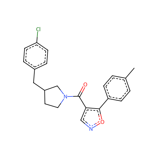 Cc1ccc(-c2oncc2C(=O)N2CCC(Cc3ccc(Cl)cc3)C2)cc1